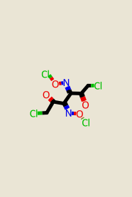 O=C(CCl)C(=N/OCl)/C(=N\OCl)C(=O)CCl